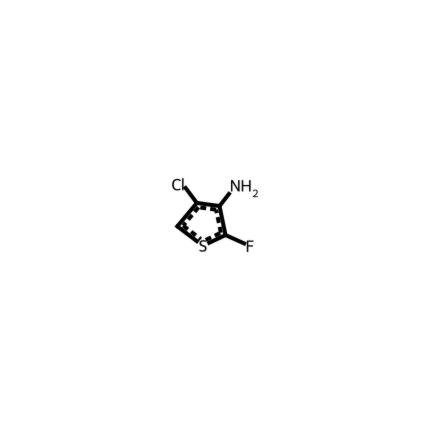 Nc1c(Cl)csc1F